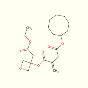 C=C(CC(=O)OC1CCCCCCC1)C(=O)OC1(CC(=O)OCC)COC1